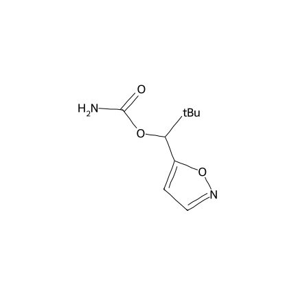 CC(C)(C)C(OC(N)=O)c1ccno1